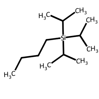 CCCC[Si](C(C)C)(C(C)C)C(C)C